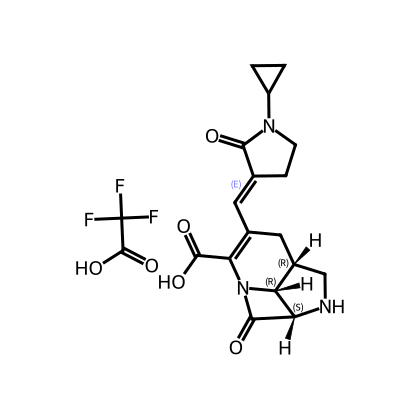 O=C(O)C(F)(F)F.O=C(O)C1=C(/C=C2\CCN(C3CC3)C2=O)C[C@@H]2CN[C@@H]3C(=O)N1[C@H]23